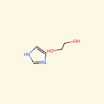 OCCO.c1c[nH]cn1